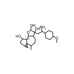 COC1CCC(C(N)CC2(O)C(O)OC3C2CCC(C)C24C=C2CC(O)[C@@]34C)CC1